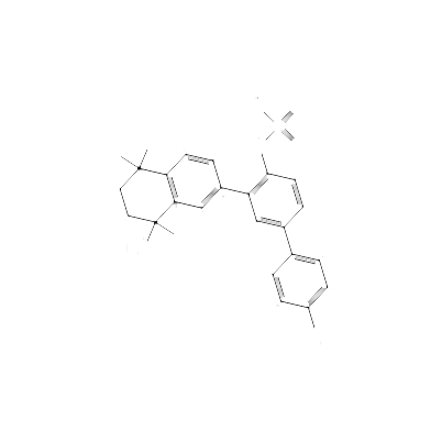 CC1(C)CCC(C)(C)c2cc(-c3cc(-c4ccc(C(=O)O)cc4)ccc3OS(=O)(=O)C(F)(F)F)ccc21